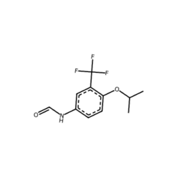 CC(C)Oc1ccc(NC=O)cc1C(F)(F)F